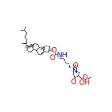 CCOC(O)C1CN(C(=O)CCCCCNC(=O)O[C@H]2CC[C@@]3(C)C(=CCC4C3CC[C@@]3(C)C4CC[C@@H]3C(C)CCCC(C)C)C2)CC1=O